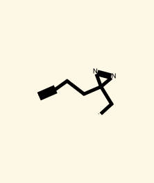 C#CCCC1(C[CH2])N=N1